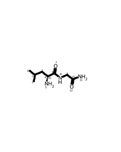 CC(C)C[C@H](N)C(=O)NCC(N)=O